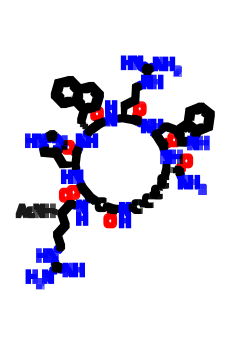 CC(=O)N[C@@H](CCCNC(=N)N)C(=O)N[C@H]1CC(=O)NCCCC[C@@H](C(N)=O)NC(=O)[C@H](Cc2c[nH]c3ccccc23)NC(=O)[C@H](CCCNC(=N)N)NC(=O)[C@@H](Cc2cccc3ccccc23)NC(=O)[C@H](Cc2c[nH]cn2)NC1=O